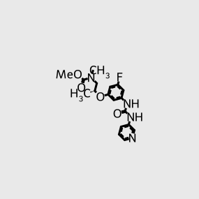 COC(=O)N(C)C[C@@H](C)Oc1cc(F)cc(NC(=O)Nc2cccnc2)c1